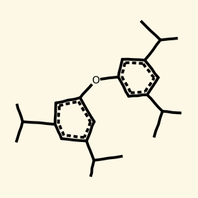 CC(C)c1cc(Oc2cc(C(C)C)cc(C(C)C)c2)cc(C(C)C)c1